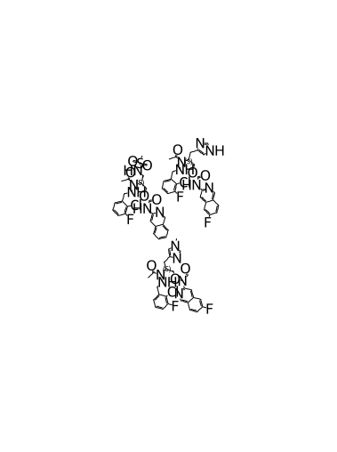 CC(=O)N(NCc1cccc(F)c1Cl)[C@@H](CNS(C)(=O)=O)COC(=O)Nc1cc2ccccc2cn1.CC(=O)N(NCc1cccc(F)c1Cl)[C@H](COC(=O)Nc1cc2cc(F)ccc2cn1)Cc1c[nH]cn1.CC(=O)N(NCc1cccc(F)c1Cl)[C@H](CON(C=O)c1cc2cc(F)ccc2cn1)Cc1cn(C)cn1